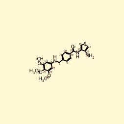 COc1cc(NCc2ccc(C(=O)Nc3cscc3N)cc2)cc(OC)c1OC